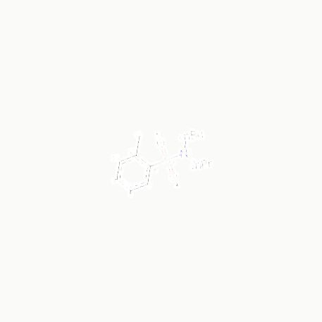 CCCCN(CCC)S(=O)(=O)c1ccccc1C